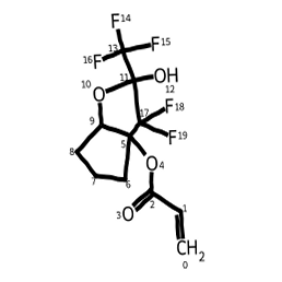 C=CC(=O)OC12CCCC1OC(O)(C(F)(F)F)C2(F)F